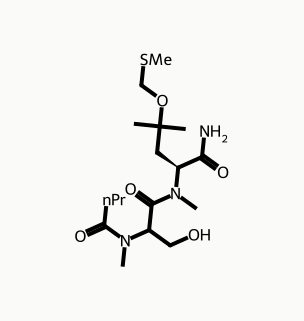 CCCC(=O)N(C)C(CO)C(=O)N(C)[C@@H](CC(C)(C)OCSC)C(N)=O